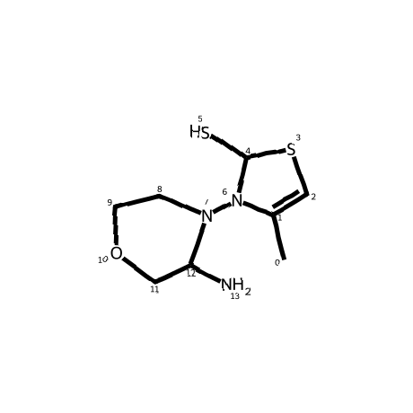 CC1=CSC(S)N1N1CCOCC1N